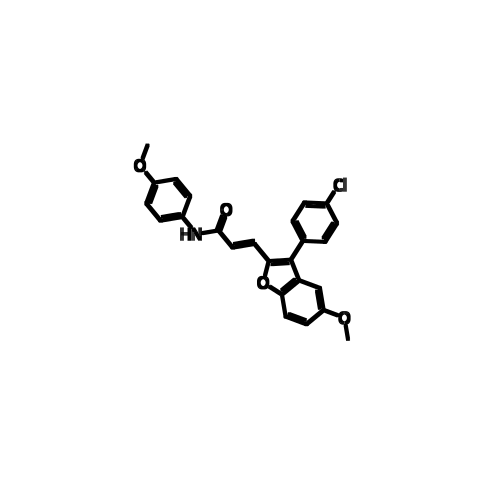 COc1ccc(NC(=O)/C=C/c2oc3ccc(OC)cc3c2-c2ccc(Cl)cc2)cc1